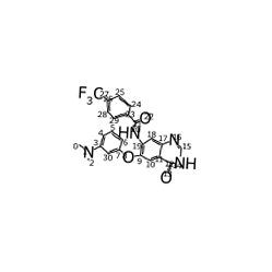 CN(C)c1cccc(Oc2cc3c(=O)[nH]cnc3cc2NC(=O)c2ccc(C(F)(F)F)cc2)c1